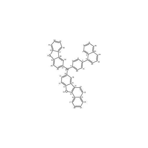 c1ccc2c(-c3ccc(N(c4ccc5oc6c7ccccc7ccc6c5c4)c4ccc5sc6ccccc6c5c4)cc3)cccc2c1